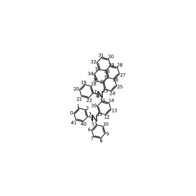 c1ccc(N(c2ccccc2)c2cccc(N(c3ccccc3)c3ccc4ccc5cccc6ccc3c4c56)c2)cc1